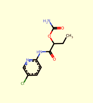 CCC(OC(N)=O)C(=O)Nc1ccc(Cl)cn1